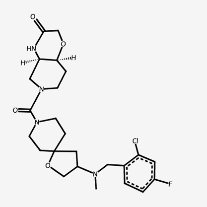 CN(Cc1ccc(F)cc1Cl)C1COC2(CCN(C(=O)N3CC[C@@H]4OCC(=O)N[C@@H]4C3)CC2)C1